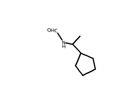 CC(N[C]=O)C1CCCC1